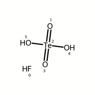 F.O=[Te](=O)(O)O